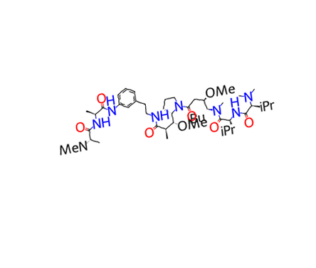 CC[C@H](C)[C@@H]([C@@H](CC(=O)N1CCC[C@H]1[C@H](OC)[C@@H](C)C(=O)NCCc1cccc(NC(=O)[C@H](C)NC(=O)[C@H](C)NC)c1)OC)N(C)C(=O)[C@@H](NC(=O)[C@H](C(C)C)N(C)C)C(C)C